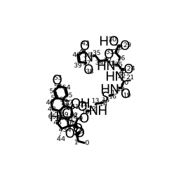 CCC(=O)O[C@]1(C(=O)COC(=O)NCCSCNC(=O)[C@H](C)NC(=O)[C@H](CCC(=O)O)NC(=O)CCN2C(=O)C=CC2=O)[C@H](C)C[C@H]2C3CCC4=CC(=O)C=C[C@]4(C)[C@@]3(Cl)[C@@H](O)C[C@@]21C